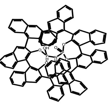 O=P1(N[PH]2(O)Oc3c(-c4c5ccccc5cc5ccccc45)cc4ccccc4c3-c3c(c(-c4c5ccccc5cc5ccccc45)cc4ccccc34)O2)Oc2c(-c3c4ccccc4cc4ccccc34)cc3ccccc3c2-c2c(c(-c3c4ccccc4cc4ccccc34)cc3ccccc23)O1